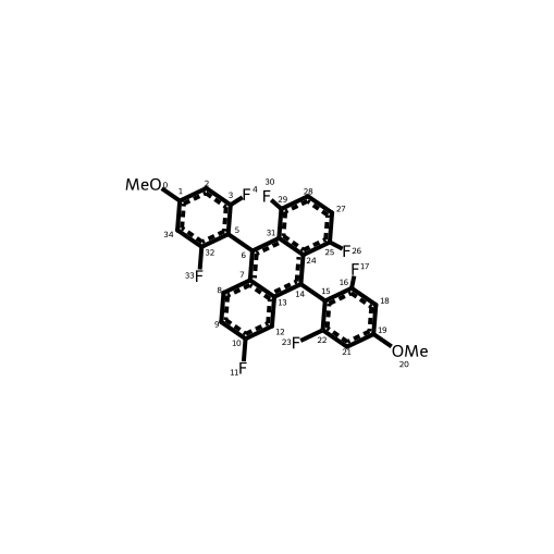 COc1cc(F)c(-c2c3ccc(F)cc3c(-c3c(F)cc(OC)cc3F)c3c(F)ccc(F)c23)c(F)c1